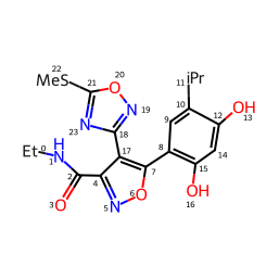 CCNC(=O)c1noc(-c2cc(C(C)C)c(O)cc2O)c1-c1noc(SC)n1